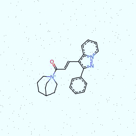 O=C(C=Cc1c(-c2ccccc2)nn2ccccc12)[N+]12CCCC(CC1)CC2